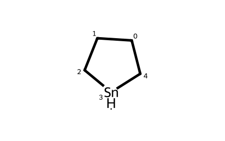 C1C[CH2][SnH][CH2]1